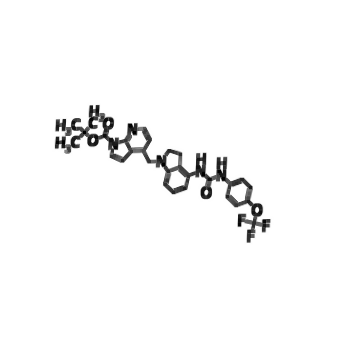 CC(C)(C)OC(=O)n1ccc2c(CN3CCc4c(NC(=O)Nc5ccc(OC(F)(F)F)cc5)cccc43)ccnc21